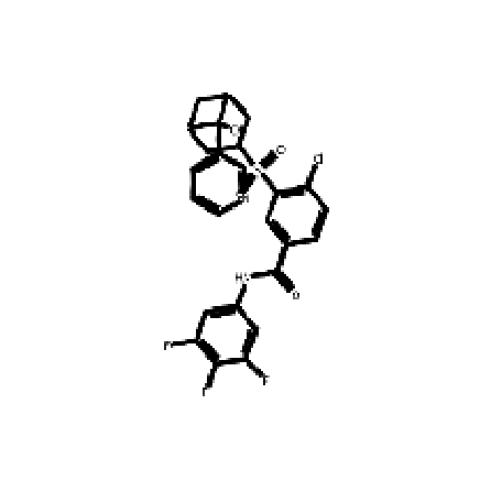 O=C(Nc1cc(F)c(F)c(F)c1)c1ccc(Cl)c(S(=O)(=O)C2CC3CC(C2)C3(O)c2cccnc2)c1